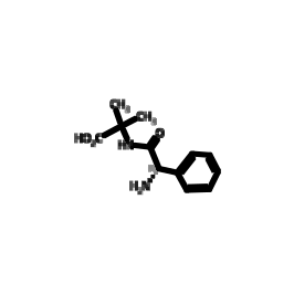 CC(C)(NC(=O)[C@@H](N)c1ccccc1)C(=O)O